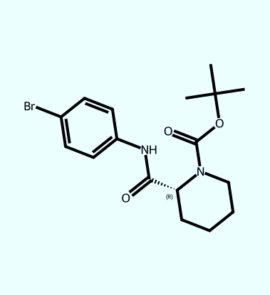 CC(C)(C)OC(=O)N1CCCC[C@@H]1C(=O)Nc1ccc(Br)cc1